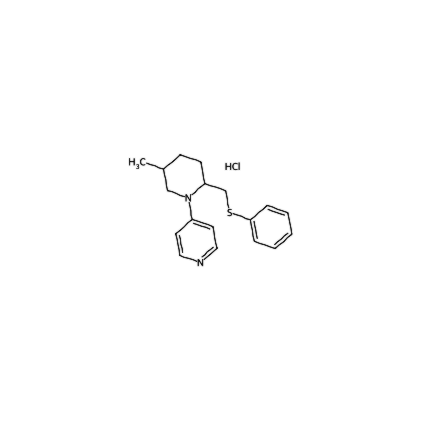 CC1CCC(CSc2ccccc2)N(c2ccncc2)C1.Cl